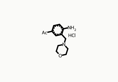 CC(=O)c1ccc(N)c(CN2CCOCC2)c1.Cl